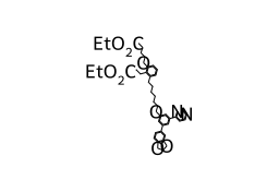 CCOC(=O)CCCOc1cccc(CCCCCCOc2cc(-c3ccc4c(c3)OCO4)cc(-c3ccncn3)c2)c1CCC(=O)OCC